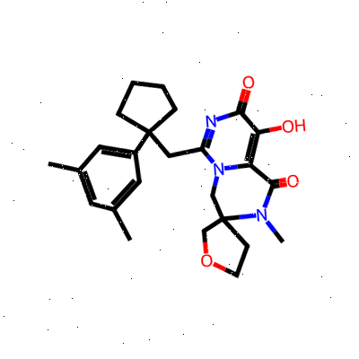 Cc1cc(C)cc(C2(Cc3nc(=O)c(O)c4n3CC3(CCOC3)N(C)C4=O)CCCC2)c1